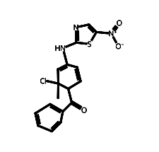 CC1(Cl)C=C(Nc2ncc([N+](=O)[O-])s2)C=CC1C(=O)c1ccccc1